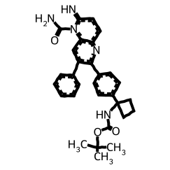 CC(C)(C)OC(=O)NC1(c2ccc(-c3nc4ccc(=N)n(C(N)=O)c4cc3-c3ccccc3)cc2)CCC1